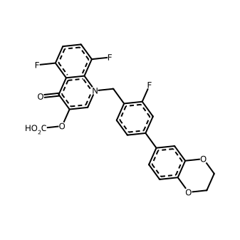 O=C(O)Oc1cn(Cc2ccc(-c3ccc4c(c3)OCCO4)cc2F)c2c(F)ccc(F)c2c1=O